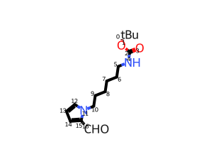 CC(C)(C)OC(=O)NCCCCCCn1cccc1C=O